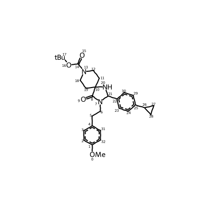 COc1ccc(CCN2C(=O)C3(CCN(C(=O)OC(C)(C)C)CC3)NC2c2ccc(C3CC3)cc2)cc1